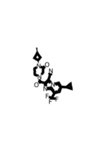 C[C@H]1C[C@H](N2CCN(C(=O)c3nc4c(C(F)(F)F)cc(C5CC5)cn4c3C#N)CC2=O)C1